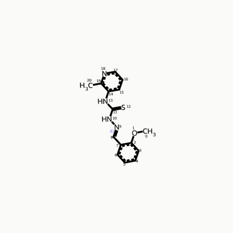 COc1ccccc1/C=N/NC(=S)Nc1cccnc1C